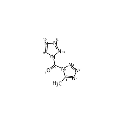 Cc1nnnn1C(=O)n1cnnn1